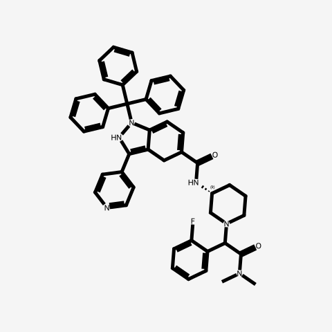 CN(C)C(=O)C(c1ccccc1F)N1CCC[C@@H](NC(=O)C2=CC=C3C(=C(c4ccncc4)NN3C(c3ccccc3)(c3ccccc3)c3ccccc3)C2)C1